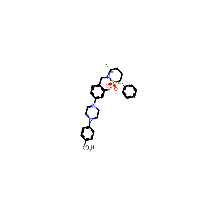 C[C@@H]1CC[C@H](c2ccccc2)S(=O)(=O)N1Cc1ccc(N2CCN(c3ccc(C(=O)O)cc3)CC2)cc1F